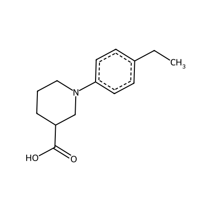 CCc1ccc(N2CCCC(C(=O)O)C2)cc1